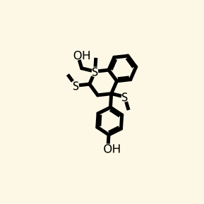 CSC1CC(SC)(c2ccc(O)cc2)c2ccccc2S1(C)CO